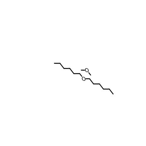 CCCCCCOCCCCCC.COC